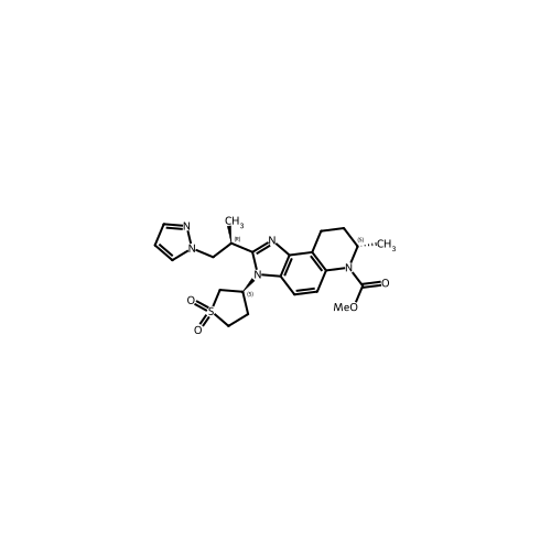 COC(=O)N1c2ccc3c(nc([C@H](C)Cn4cccn4)n3[C@H]3CCS(=O)(=O)C3)c2CC[C@@H]1C